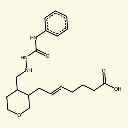 O=C(O)CCCC=CCC1COCCC1CNNC(=O)Nc1ccccc1